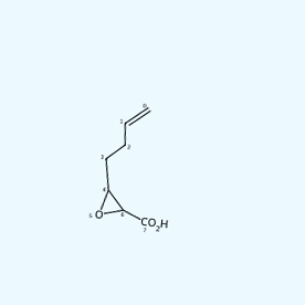 C=CCCC1OC1C(=O)O